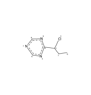 CCC(Cl)c1ncncn1